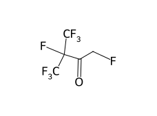 O=C(CF)C(F)(C(F)(F)F)C(F)(F)F